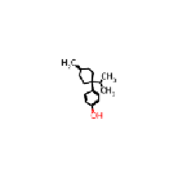 C=C1CCC(c2ccc(O)cc2)(C(C)C)CC1